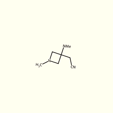 CNC1(CC#N)CN(C)C1